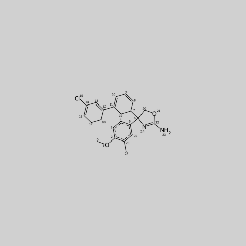 COc1ccc(C2(C3C=CC=C(C4=CC(Cl)=CCC4)C3)COC(N)=N2)cc1C